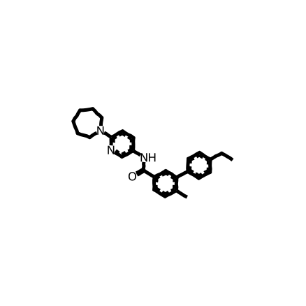 CCc1ccc(-c2cc(C(=O)Nc3ccc(N4CCCCCC4)nc3)ccc2C)cc1